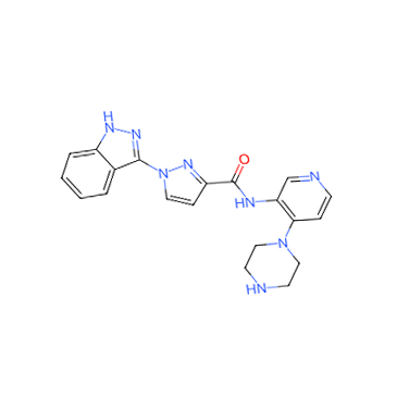 O=C(Nc1cnccc1N1CCNCC1)c1ccn(-c2n[nH]c3ccccc23)n1